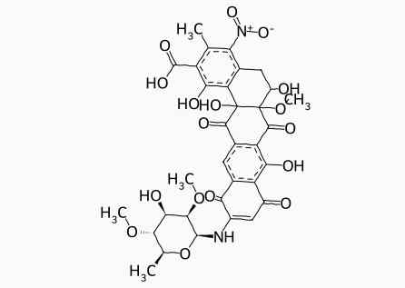 CO[C@@H]1[C@@H](O)[C@@H](OC)[C@@H](NC2=CC(=O)c3c(cc4c(c3O)C(=O)C3(OC)C(O)Cc5c([N+](=O)[O-])c(C)c(C(=O)O)c(O)c5C3(O)C4=O)C2=O)O[C@H]1C